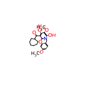 COc1ccc(Cn2c(O)c(OC)c(O)c(C(=O)C3CCCCCC3)c2=O)cc1